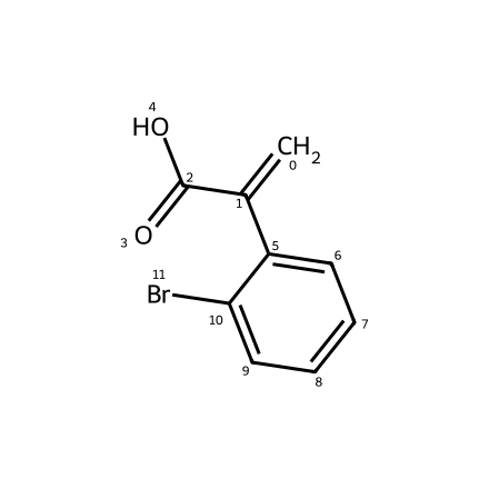 C=C(C(=O)O)c1ccccc1Br